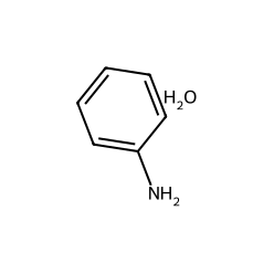 Nc1ccccc1.O